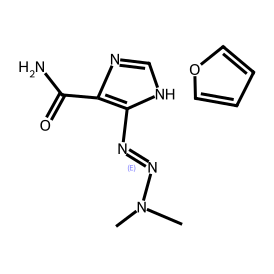 CN(C)/N=N/c1[nH]cnc1C(N)=O.c1ccoc1